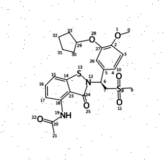 COc1ccc([C@@H](CS(C)(=O)=O)n2sc3cccc(NC(C)=O)c3c2=O)cc1OC1CCCC1